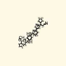 COCC1CCCN1CC(=O)Nc1ccc(Nc2nccc(-c3cnn(C(CC#N)C4CCCC4)c3)n2)cc1